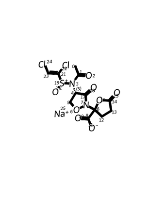 CC(=O)N([C@H]1CON(C2(C(=O)[O-])CCC(=O)O2)C1=O)[S+]([O-])C(Cl)=CCl.[Na+]